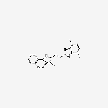 Cc1ccc(C)n2nc(CCc3nc4c5ccccc5ccc4n3C)nc12